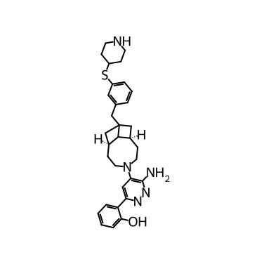 Nc1nnc(-c2ccccc2O)cc1N1CC[C@@H]2CC3(Cc4cccc(SC5CCNCC5)c4)C[C@H](CC1)C23